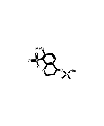 COc1ccc2c(c1S(=O)(=O)Cl)OCCC2O[Si](C)(C)C(C)(C)C